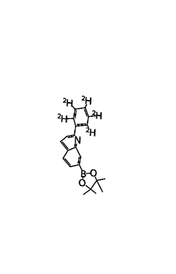 [2H]c1c([2H])c([2H])c(-c2ccc3ccc(B4OC(C)(C)C(C)(C)O4)cc3n2)c([2H])c1[2H]